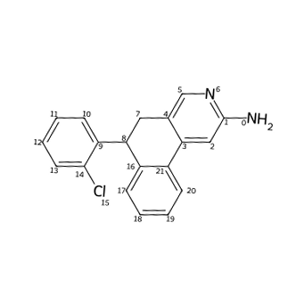 Nc1cc2c(cn1)CC(c1ccccc1Cl)c1ccccc1-2